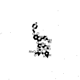 C=C[C@@H]1CC1(NC(=O)[C@@H]1C[C@@H](OC2=CC(c3csc(NC(C)C)n3)Nc3c2ccc(OCCN2CCN(C)CC2)c3Cl)CN1C(=O)[C@@H](NC(=O)O[C@@H]1C[C@@H]2C[C@@H]2C1)C(C)(C)C)C(=O)OC